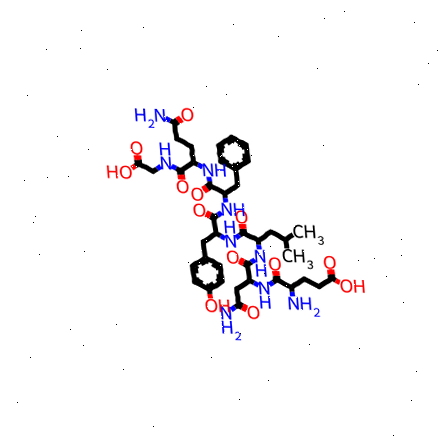 CC(C)CC(NC(=O)C(CC(N)=O)NC(=O)C(N)CCC(=O)O)C(=O)NC(Cc1ccc(O)cc1)C(=O)NC(Cc1ccccc1)C(=O)NC(CCC(N)=O)C(=O)NCC(=O)O